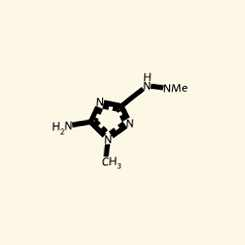 CNNc1nc(N)n(C)n1